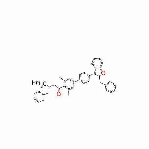 Cc1cc(-c2ccc(-c3c(Cc4ccccc4)oc4ccccc34)cc2)cc(C)c1C(=O)CC(Cc1ccccc1)C(=O)O